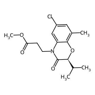 COC(=O)CCN1C(=O)[C@H](C(C)C)Oc2c(C)cc(Cl)cc21